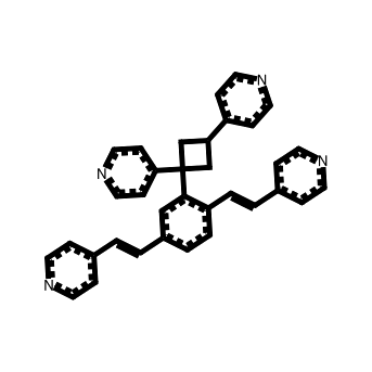 C(=Cc1ccc(C=Cc2ccncc2)c(C2(c3ccncc3)CC(c3ccncc3)C2)c1)c1ccncc1